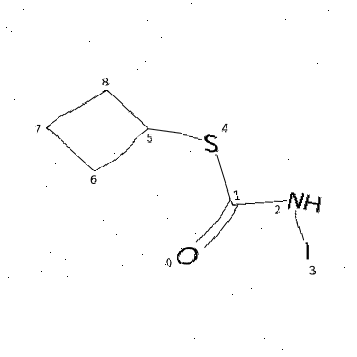 O=C(NI)SC1CCC1